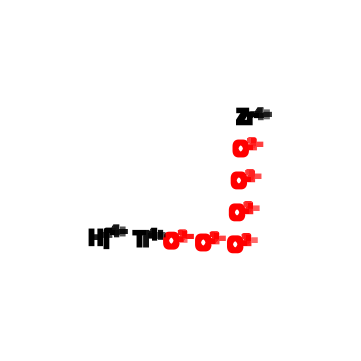 [Hf+4].[O-2].[O-2].[O-2].[O-2].[O-2].[O-2].[Ti+4].[Zr+4]